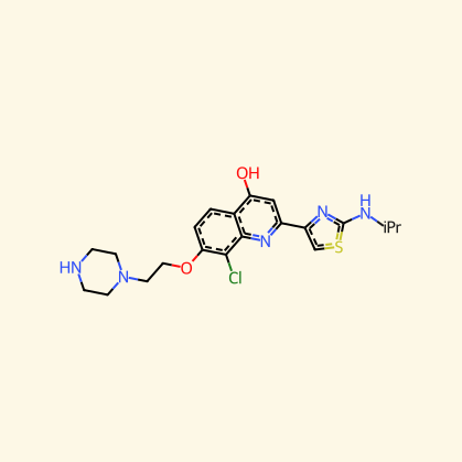 CC(C)Nc1nc(-c2cc(O)c3ccc(OCCN4CCNCC4)c(Cl)c3n2)cs1